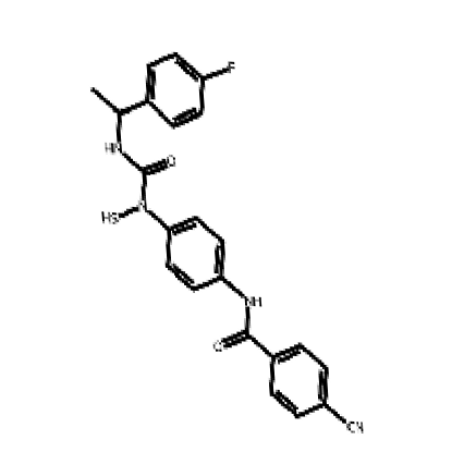 CC(NC(=O)N(S)c1ccc(NC(=O)c2ccc(C#N)cc2)cc1)c1ccc(F)cc1